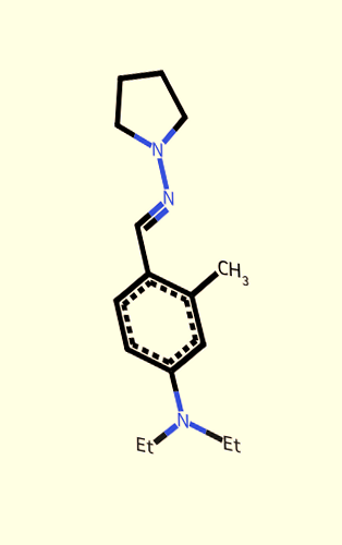 CCN(CC)c1ccc(C=NN2CCCC2)c(C)c1